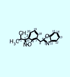 CC(C)c1noc2c(Cc3nc4ccccc4o3)cccc12